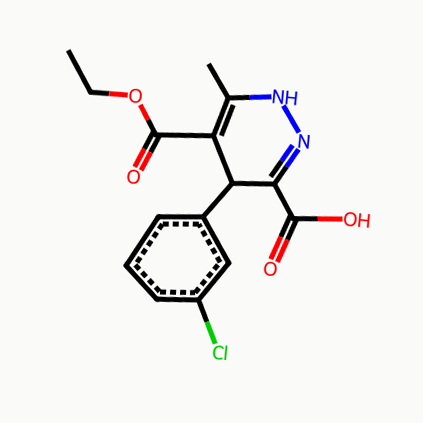 CCOC(=O)C1=C(C)NN=C(C(=O)O)C1c1cccc(Cl)c1